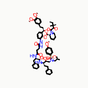 CCC(C)(C)C(=O)C(=O)N1CCCC[C@H]1C(=O)O[C@H](CCc1ccc(OC)c(OC)c1)c1cccc(NC(=O)CCC(=O)NC(Cc2ccccc2)C(=O)N[C@H](CCc2ccccc2)[C@@H](O)CN(CC(C)C)S(=O)(=O)c2ccc(OC)cc2)c1